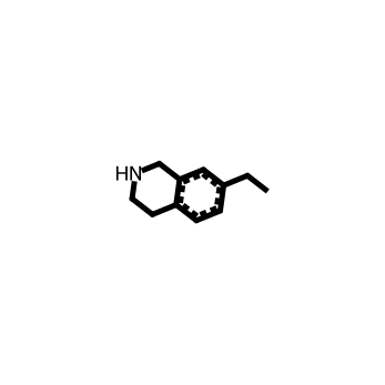 CCc1ccc2c(c1)CNCC2